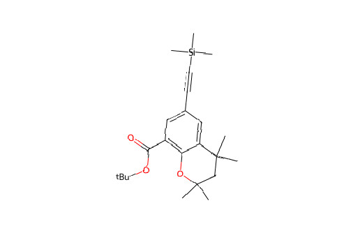 CC(C)(C)OC(=O)c1cc(C#C[Si](C)(C)C)cc2c1OC(C)(C)CC2(C)C